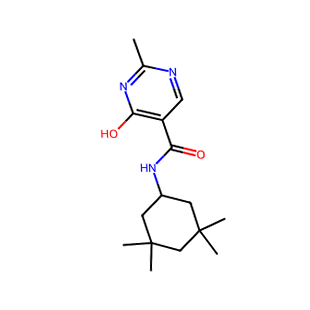 Cc1ncc(C(=O)NC2CC(C)(C)CC(C)(C)C2)c(O)n1